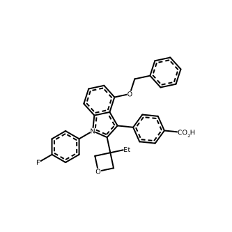 CCC1(c2c(-c3ccc(C(=O)O)cc3)c3c(OCc4ccccc4)cccc3n2-c2ccc(F)cc2)COC1